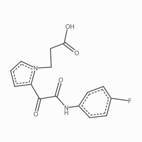 O=C(O)CCn1cccc1C(=O)C(=O)Nc1ccc(F)cc1